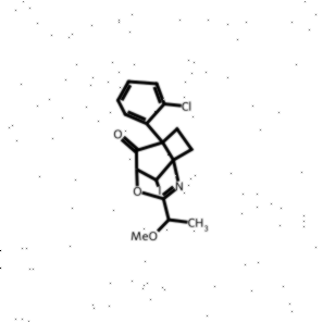 COC(C)C1=NC23CCC2(c2ccccc2Cl)C(=O)C(O1)C3I